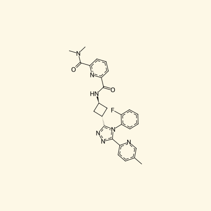 Cc1ccc(-c2nnc([C@H]3C[C@H](NC(=O)c4cccc(C(=O)N(C)C)n4)C3)n2-c2ccccc2F)nc1